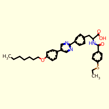 CCCCCCCOc1ccc(-c2cnc(-c3ccc(CC(NC(=O)c4ccc(SCC)cc4)C(=O)O)cc3)nc2)cc1